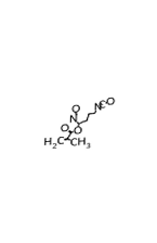 C=C(C)C(=O)OC(CCCN=C=O)N=C=O